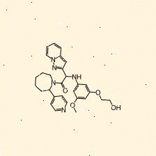 COc1cc(NC(C(=O)N2CCCCCC2c2ccncc2)c2cc3ccccn3n2)cc(OCCO)c1